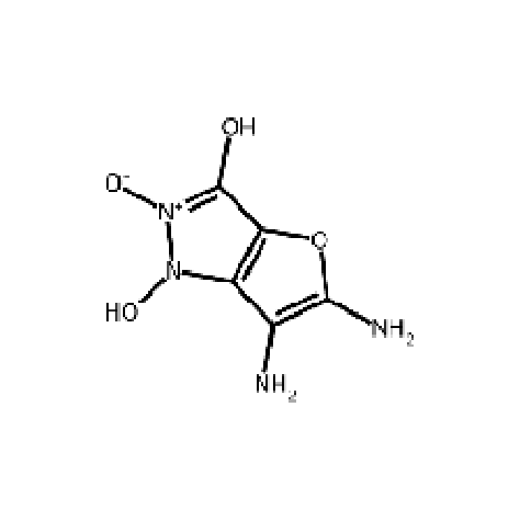 Nc1oc2c(O)[n+]([O-])n(O)c2c1N